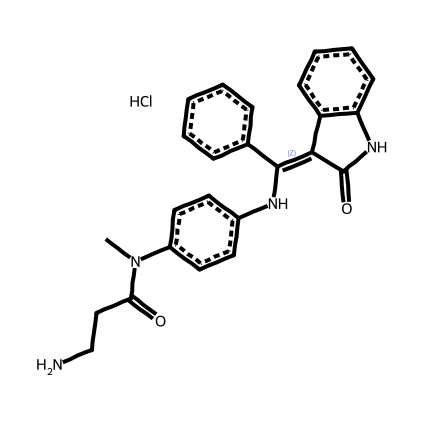 CN(C(=O)CCN)c1ccc(N/C(=C2\C(=O)Nc3ccccc32)c2ccccc2)cc1.Cl